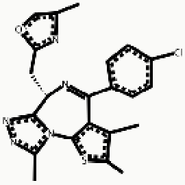 Cc1coc(C[C@@H]2N=C(c3ccc(Cl)cc3)c3c(sc(C)c3C)-n3c(C)nnc32)n1